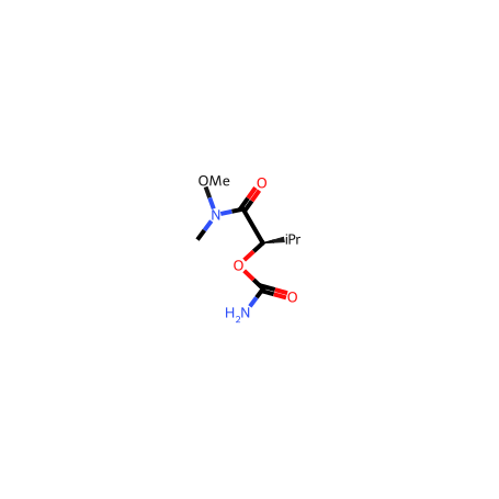 CON(C)C(=O)[C@H](OC(N)=O)C(C)C